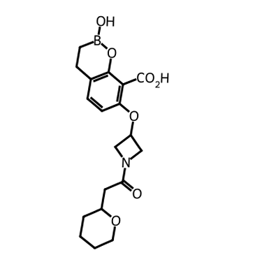 O=C(O)c1c(OC2CN(C(=O)CC3CCCCO3)C2)ccc2c1OB(O)CC2